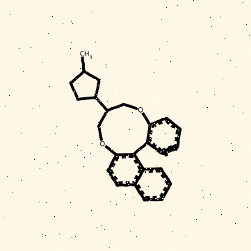 CC1CCC(C2COc3ccc4ccccc4c3-c3c(ccc4ccccc34)OC2)C1